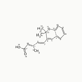 CC(/C=C/C1=Cc2ccccc2OC1(C)C)=C\C(=O)O